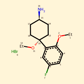 Br.CCOc1ccc(F)cc1[C@]1(OCC)CC[C@H](N)CC1